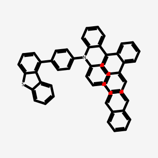 c1ccc(N(c2ccc(-c3ccc4ccccc4c3)cc2)c2ccc(-c3cccc4sc5ccccc5c34)cc2)c(-c2cc3ccccc3c3ccccc23)c1